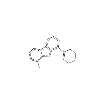 Cc1cccc2c1sc1c(C3=CCCCC3)cccc12